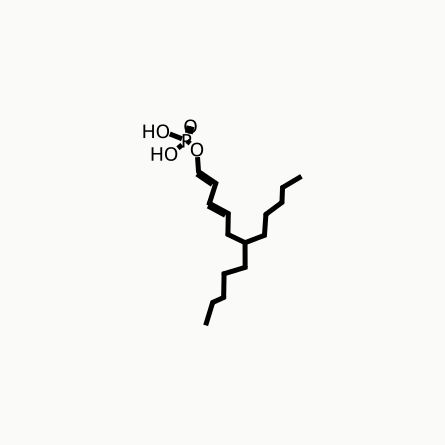 CCCCCC(CC=CC=COP(=O)(O)O)CCCCC